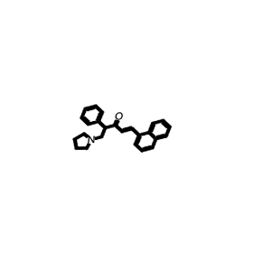 O=C(C=Cc1cccc2ccccc12)C(CN1CCCC1)c1ccccc1